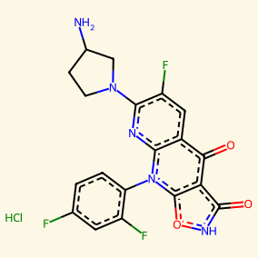 Cl.NC1CCN(c2nc3c(cc2F)c(=O)c2c(=O)[nH]oc2n3-c2ccc(F)cc2F)C1